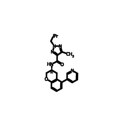 Cc1nn(CC(C)C)nc1C(=O)N[C@@H]1COc2cccc(-c3cccnc3)c2C1